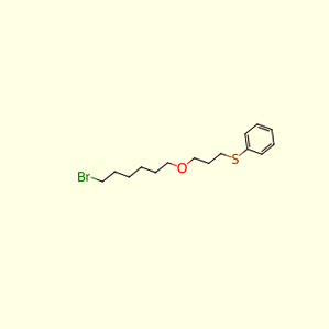 BrCCCCCCOCCCSc1ccccc1